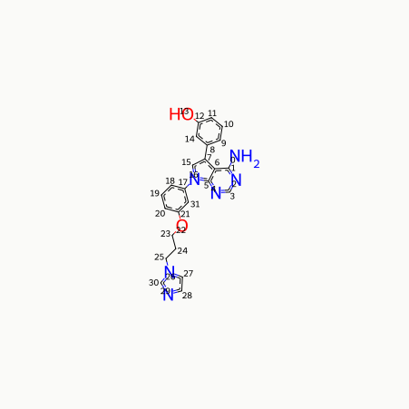 Nc1ncnc2c1c(-c1cccc(O)c1)cn2-c1cccc(OCCCn2ccnc2)c1